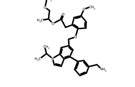 COCC(C)OC(=O)Cc1cc(OC)ccc1OCc1cc(-c2cccc(CN)c2)c2ccn(C(C)C)c2c1